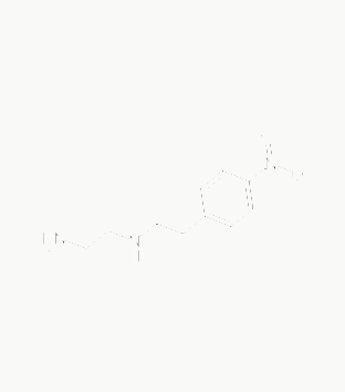 NCCNCCc1ccc([N+](=O)[O-])cc1